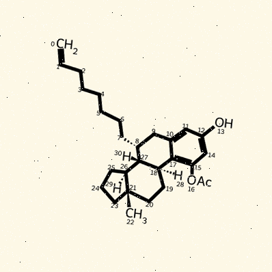 C=CCCCCCC[C@@H]1Cc2cc(O)cc(OC(C)=O)c2[C@H]2CC[C@]3(C)CCC[C@H]3[C@H]12